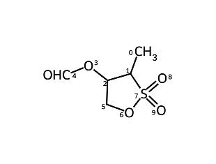 CC1C(OC=O)COS1(=O)=O